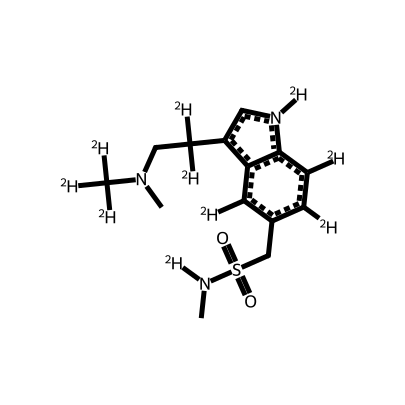 [2H]c1c(CS(=O)(=O)N([2H])C)c([2H])c2c(C([2H])([2H])CN(C)C([2H])([2H])[2H])cn([2H])c2c1[2H]